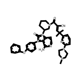 CN1CCN(c2cccc(C(C)(C)C=C(C#N)C(=O)N3CCCC(n4c(=O)n(-c5ccc(Oc6ccccc6)cc5)c5c(N)nccc54)C3)n2)CC1